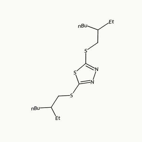 CCCCC(CC)CSc1nnc(SCC(CC)CCCC)s1